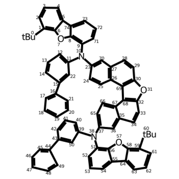 CC(C)(C)c1cccc2c1oc1c(N(c3cccc(-c4ccccc4)c3)c3ccc4c(ccc5oc6ccc7cc(N(c8cccc(-c9ccccc9)c8)c8cccc9c8oc8c(C(C)(C)C)cccc89)ccc7c6c54)c3)cccc12